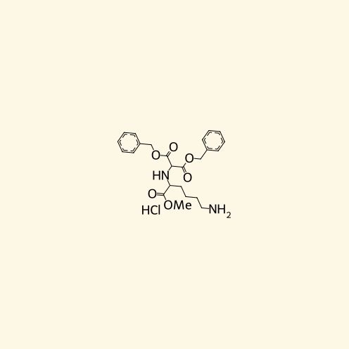 COC(=O)C(CCCCN)NC(C(=O)OCc1ccccc1)C(=O)OCc1ccccc1.Cl